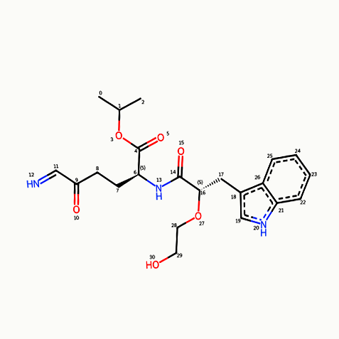 CC(C)OC(=O)[C@H](CCC(=O)C=N)NC(=O)[C@H](Cc1c[nH]c2ccccc12)OCCO